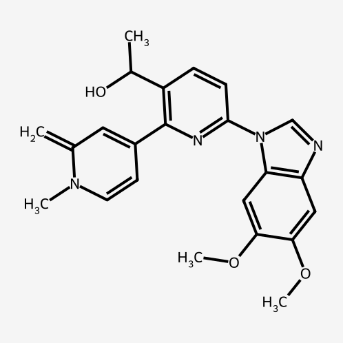 C=C1C=C(c2nc(-n3cnc4cc(OC)c(OC)cc43)ccc2C(C)O)C=CN1C